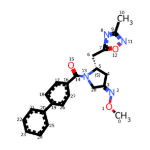 CON=C1C[C@@H](Cc2nc(C)no2)N(C(=O)c2ccc(-c3ccccc3)cc2)C1